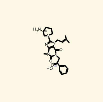 CC(C)=CCn1c(N2CCC[C@@H](N)C2)nc2c1c(=O)n(C/C(=N/O)c1ccccc1)c(=O)n2C